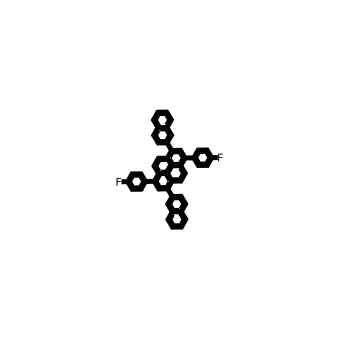 Fc1ccc(-c2cc(-c3ccc4ccccc4c3)c3ccc4c(-c5ccc(F)cc5)cc(-c5ccc6ccccc6c5)c5ccc2c3c45)cc1